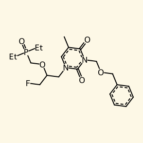 CCP(=O)(CC)COC(CF)Cn1cc(C)c(=O)n(COCc2ccccc2)c1=O